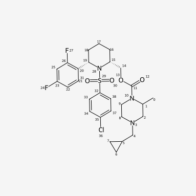 CC1CN(CC2CC2)CCN1C(=O)OC[C@H]1CCC[C@@H](c2ccc(F)cc2F)N1S(=O)(=O)c1ccc(Cl)cc1